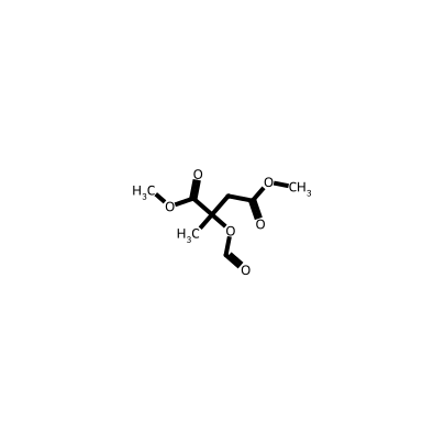 COC(=O)CC(C)(OC=O)C(=O)OC